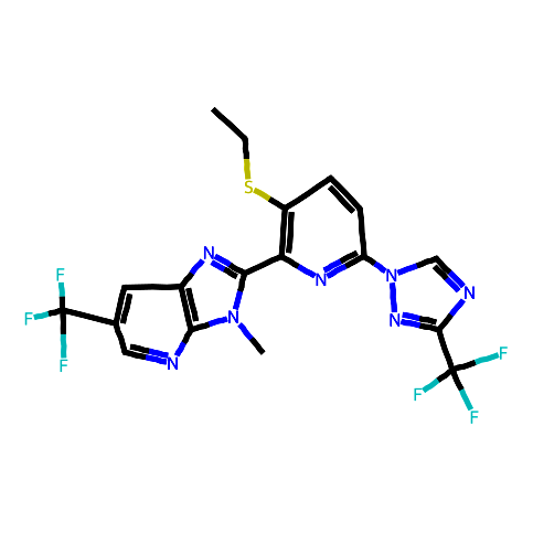 CCSc1ccc(-n2cnc(C(F)(F)F)n2)nc1-c1nc2cc(C(F)(F)F)cnc2n1C